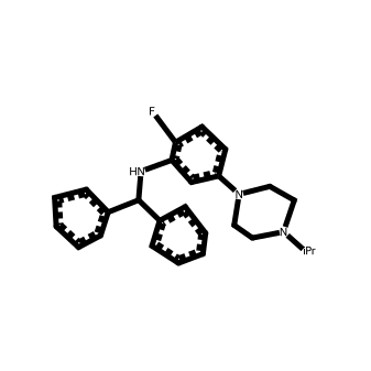 CC(C)N1CCN(c2ccc(F)c(NC(c3ccccc3)c3ccccc3)c2)CC1